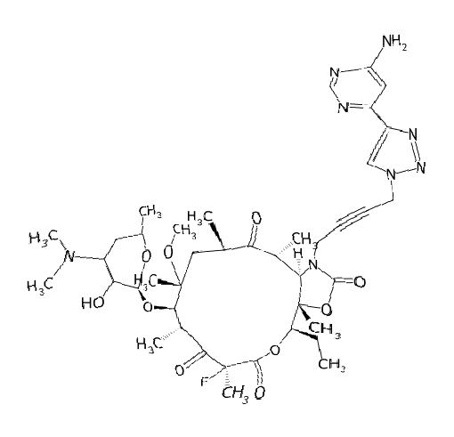 CC[C@H]1OC(=O)[C@@](C)(F)C(=O)[C@H](C)[C@@H](O[C@@H]2OC(C)CC(N(C)C)C2O)[C@](C)(OC)C[C@@H](C)C(=O)[C@H](C)[C@H]2N(CC#CCn3cc(-c4cc(N)ncn4)nn3)C(=O)O[C@]12C